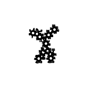 CC1(C)c2ccccc2-c2ccc(N(c3ccc(-c4ccccc4)cc3)c3ccc(-c4cc5c(c6c4ccc4c7ccccc7sc46)-c4ccccc4C5(C)C)cc3)cc21